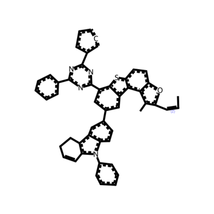 C/C=C\c1oc2ccc3sc4c(-c5nc(-c6ccccc6)nc(-c6ccccc6)n5)cc(-c5ccc6c(c5)c5c(n6-c6ccccc6)C=CCC5)cc4c3c2c1C